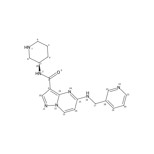 O=C(N[C@@H]1CCCNC1)c1cnn2ccc(NCc3cccnc3)nc12